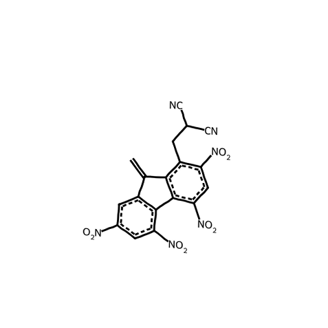 C=C1c2cc([N+](=O)[O-])cc([N+](=O)[O-])c2-c2c([N+](=O)[O-])cc([N+](=O)[O-])c(CC(C#N)C#N)c21